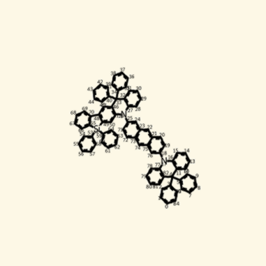 c1ccc(C2(c3ccccc3)c3ccccc3N(c3ccc4cc5cc(N6c7ccccc7C(c7ccccc7)(c7ccccc7)c7cc8c(cc76)[Si](c6ccccc6)(c6ccccc6)c6ccccc6-8)ccc5cc4c3)c3ccccc32)cc1